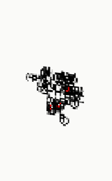 C=CCOC(=O)NC(C(=O)NC(C)C(=O)Nc1ccc(COC(=O)Nc2cc(OCCCCCOc3cc(NC(=O)OCc4ccc(O[C@H]5O[C@](CC=C)(C(=O)O)[C@@H](OC(=O)OCC=C)[C@H](OC(=O)OCC=C)[C@H]5OC(=O)OCC=C)c([N+](=O)[O-])c4)c(C(=O)N4C=C(c5ccc(OC)cc5)CC4CO[Si](C)(C)C(C)(C)C)cc3OC)c(OC)cc2C(=O)N2C=C(c3ccc(OC)cc3)CC2CO[Si](C)(C)C(C)(C)C)cc1)C(C)C